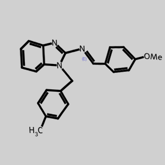 COc1ccc(/C=N/c2nc3ccccc3n2Cc2ccc(C)cc2)cc1